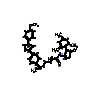 Cc1cc(C)c(N2C(=O)CS/C2=N\C(=O)NCCCC(C)c2ccc(-c3ncn(-c4ccc(OC(F)(F)F)cc4)n3)cc2)c(C)c1